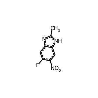 Cc1nc2cc(F)c([N+](=O)[O-])cc2[nH]1